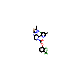 Cc1cnc(C2c3c(nc4sc(C)nn34)CCN2C(=O)COc2cccc(C(F)(F)F)c2Cl)c(F)c1